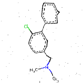 CN(C)Cc1ccc(Cl)c(-c2ccccc2)c1